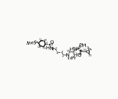 CCCN(CCCCNC(=O)c1ccc(SC)cc1)CCNP(C)P(O)C1CC1